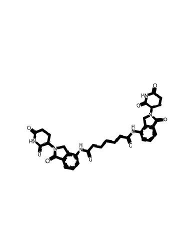 O=C1CCC(N2Cc3c(NC(=O)CCCCCC(=O)Nc4cccc5c4CN(C4CCC(=O)NC4=O)C5=O)cccc3C2=O)C(=O)N1